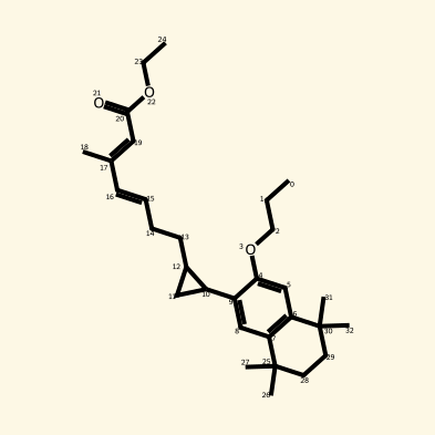 CCCOc1cc2c(cc1C1CC1CCC=CC(C)=CC(=O)OCC)C(C)(C)CCC2(C)C